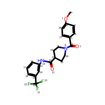 COc1ccc(C(=O)N2CCC(C(=O)Nc3cccc(C(F)(F)F)c3)CC2)cc1